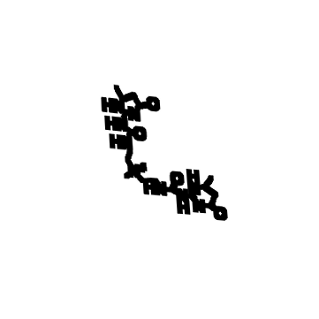 Cc1cc(=O)nc(NC(=O)NCC[N+](C)(C)CCNC(=O)Nc2nc(=O)cc(C)[nH]2)[nH]1